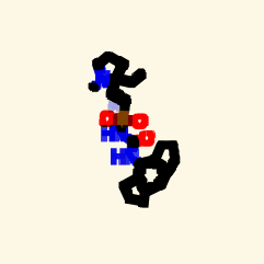 CCC1(/C=C/S(=O)(=O)NC(=O)Nc2c3c(cc4c2CCC4)CCC3)CCCN1C